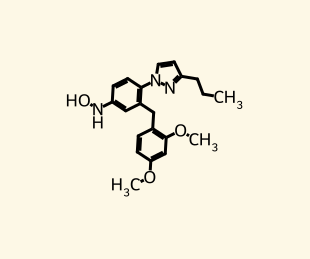 CCCc1ccn(-c2ccc(NO)cc2Cc2ccc(OC)cc2OC)n1